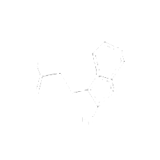 Cc1nc2cnccn2c1NCC(=O)O